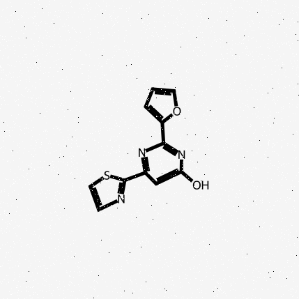 Oc1cc(-c2nccs2)nc(-c2ccco2)n1